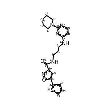 O=C(NCCCNc1ccnc(N2CCOCC2)n1)c1cc(-c2cccs2)on1